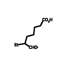 CCC([C]=O)CCCCC(=O)O